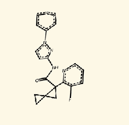 O=C(Nc1ccn(-c2ccncc2)n1)C1(c2ncccc2F)CC12CC2